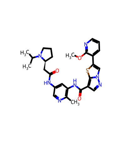 COc1ncccc1-c1cn2ncc(C(=O)Nc3cc(NC(=O)C[C@@H]4CCCN4C(C)C)cnc3C)c2s1